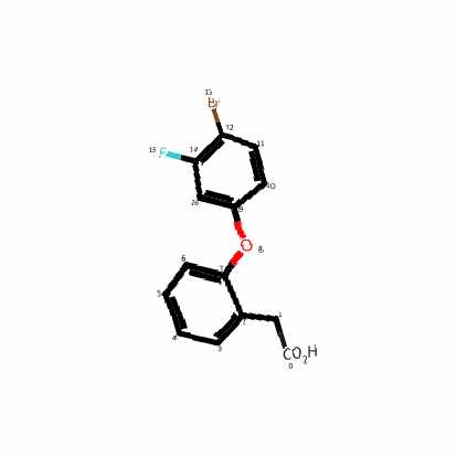 O=C(O)Cc1ccccc1Oc1ccc(Br)c(F)c1